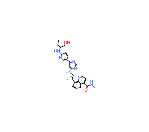 CCC(CO)Nc1ccc(-c2cc(NC[C@@H](C)c3cccc4c(C(=O)NC)ccnc34)ncn2)cn1